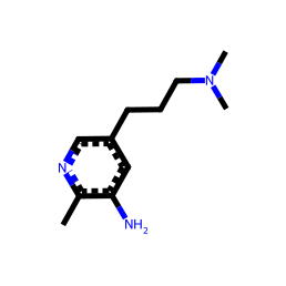 Cc1ncc(CCCN(C)C)cc1N